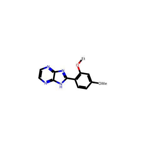 CCOc1cc(OC)ccc1-c1nc2nccnc2[nH]1